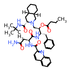 CCCC(=O)O[C@H](CN1C[C@H]2CCCC[C@H]2C[C@H]1C(=O)NC(C)(C)C)[C@H](Cc1ccccc1)NC(=O)[C@H](CC(N)=O)NC(=O)c1ccc2ccccc2n1